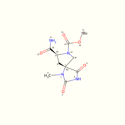 CN1C(=O)NC(=O)[C@]12C[C@@H](C(N)=O)N(C(=O)OC(C)(C)C)C2